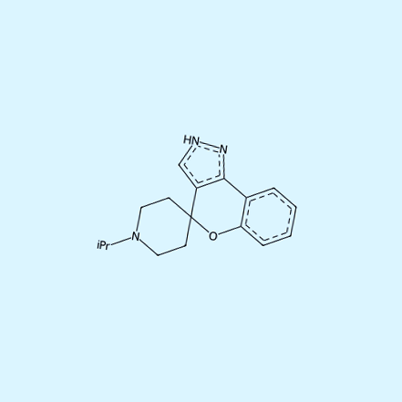 CC(C)N1CCC2(CC1)Oc1ccccc1-c1n[nH]cc12